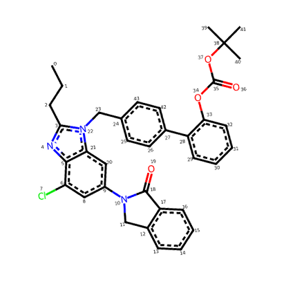 CCCc1nc2c(Cl)cc(N3Cc4ccccc4C3=O)cc2n1Cc1ccc(-c2ccccc2OC(=O)OC(C)(C)C)cc1